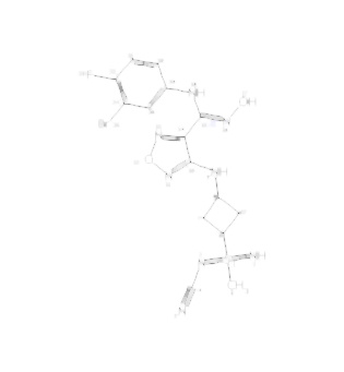 CS(=N)(=NC#N)C1CC(Nc2nonc2/C(=N/O)Nc2ccc(F)c(Br)c2)C1